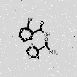 NC(=O)c1ncon1.O=C(O)c1ccccc1Br